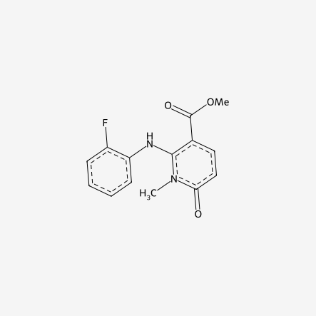 COC(=O)c1ccc(=O)n(C)c1Nc1ccccc1F